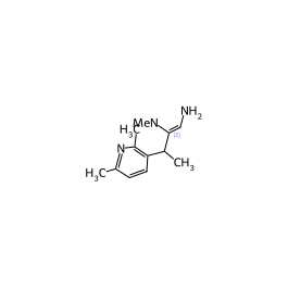 CN/C(=C\N)C(C)c1ccc(C)nc1C